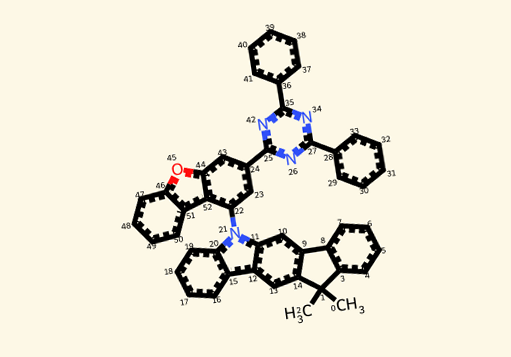 CC1(C)c2ccccc2-c2cc3c(cc21)c1ccccc1n3-c1cc(-c2nc(-c3ccccc3)nc(-c3ccccc3)n2)cc2oc3ccccc3c12